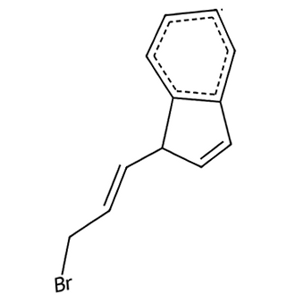 BrCC=CC1C=Cc2c[c]ccc21